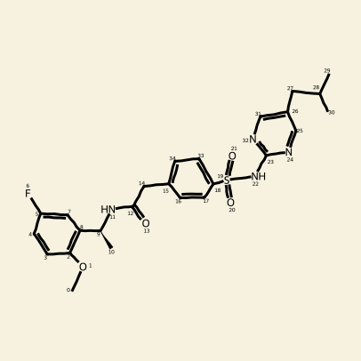 COc1ccc(F)cc1[C@H](C)NC(=O)Cc1ccc(S(=O)(=O)Nc2ncc(CC(C)C)cn2)cc1